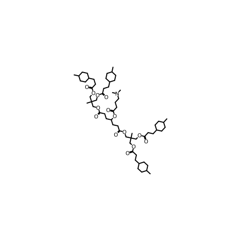 CC1CCC(CCC(=O)OCC(C)(COC(=O)CCC2CCC(C)CC2)COC(=O)CCC(CCC(=O)OCC(C)(COC(=O)CCC2CCC(C)CC2)COC(=O)CCC2CCC(C)CC2)OC(=O)CCCN(C)C)CC1